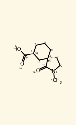 CN1CC[C@]2(CCC[C@H](C(=O)O)C2)C1=O